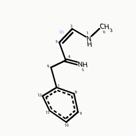 CN/C=C\C(=N)Cc1ccccc1